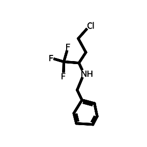 FC(F)(F)C(CCCl)NCc1ccccc1